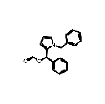 O=COC(c1ccccc1)c1cccn1Cc1ccccc1